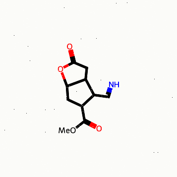 COC(=O)C1CC2OC(=O)CC2C1C=N